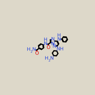 NC(=O)c1ccc(NC(=O)c2cnc3c(Nc4ccccc4)cc(NC4CCC(N)CC4)nn23)cc1